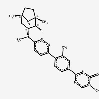 CN(c1ccc(-c2ccc(-c3ncn(C)c(=O)n3)cc2O)nn1)[C@H]1C[C@]2(C)CC[C@@](C)(N2)[C@H]1F